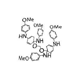 COc1ccc(NC2=CCC(Nc3ccc(OC)cc3)(OCOC3(Nc4ccc(OC)cc4)C=CC(Nc4ccc(OC)cc4)=CC3)C=C2)cc1